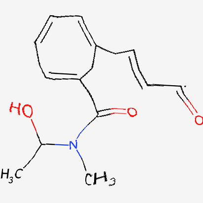 CC(O)N(C)C(=O)c1ccccc1/C=C/[C]=O